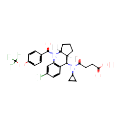 O=C(O)CCC(=O)N(C1CC1)C1c2ccc(Cl)cc2N(C(=O)c2ccc(OC(F)(F)F)cc2)[C@@H]2CCC[C@H]12